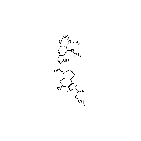 COC(=O)c1cc2c([nH]1)C(=O)CC1C2CCN1C(=O)c1cc2cc(OC)c(OC)c(OC)c2[nH]1